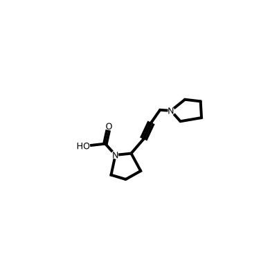 O=C(O)N1CCCC1C#CCN1CCCC1